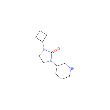 O=C1N(C2CCC2)CCN1C1CCCNC1